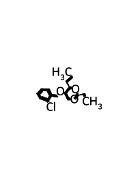 CCC[C@H]1O[C@@H](CC)OC[C@H]1OCc1ccccc1Cl